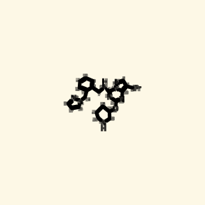 CC(C)c1cnn2c(NCc3ccccc3Cn3cccn3)nc(OC3CCCNC3)nc12